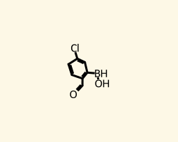 O=Cc1ccc(Cl)cc1BO